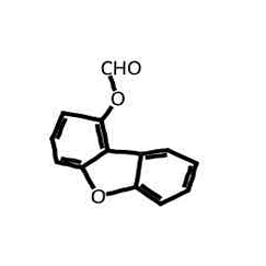 O=COc1cccc2oc3ccccc3c12